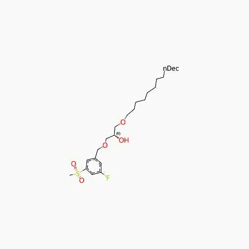 CCCCCCCCCCCCCCCCCCOC[C@@H](O)COCc1cc(F)cc(S(C)(=O)=O)c1